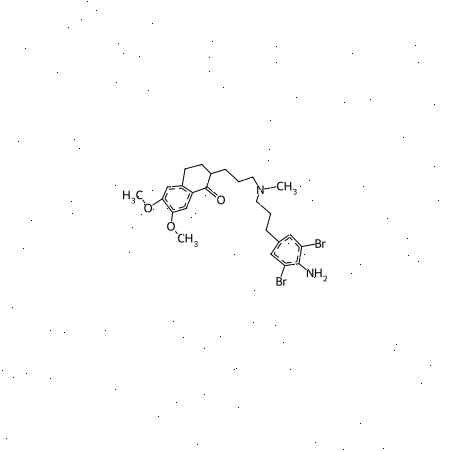 COc1cc2c(cc1OC)C(=O)C(CCCN(C)CCCc1cc(Br)c(N)c(Br)c1)CC2